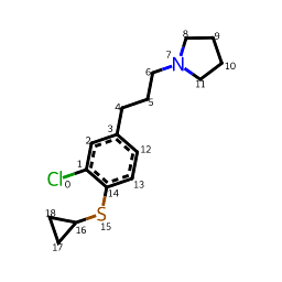 Clc1cc(CCCN2CCCC2)ccc1SC1CC1